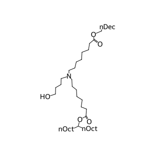 CCCCCCCCCCCOC(=O)CCCCCCCN(CCCCO)CCCCCCCC(=O)OC(CCCCCCCC)CCCCCCCC